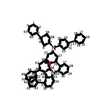 c1ccc(-c2ccc(N(c3ccc(-c4ccccc4)cc3)c3cccc(-c4ccccc4-n4c5cccc(-c6ccccc6)c5c5c(-c6ccccc6)cccc54)c3)cc2)cc1